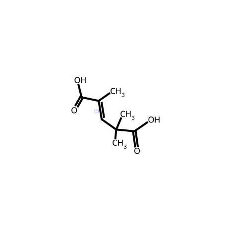 C/C(=C\C(C)(C)C(=O)O)C(=O)O